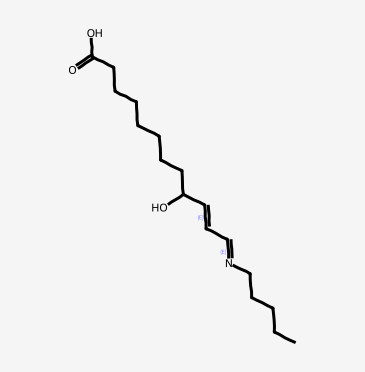 CCCCC/N=C/C=C/C(O)CCCCCCCC(=O)O